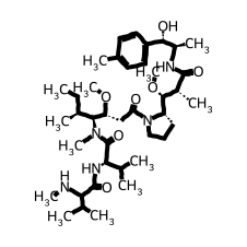 CC[C@H](C)[C@@H]([C@@H](CC(=O)N1CCC[C@H]1[C@H](OC)[C@@H](C)C(=O)N[C@H](C)[C@@H](O)c1ccc(C)cc1)OC)N(C)C(=O)[C@@H](NC(=O)C(NC)C(C)C)C(C)C